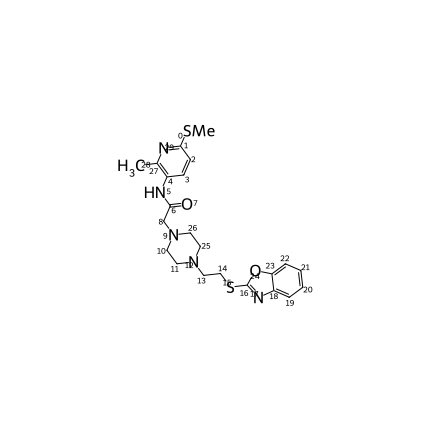 CSc1ccc(NC(=O)CN2CCN(CCSc3nc4ccccc4o3)CC2)c(C)n1